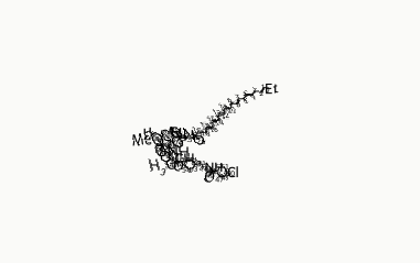 CCC=CCC=CCC=CCC=CCC=CCC=CCCC(=O)NCC(=O)OC(C)C(NC(=O)C(C)(C)Oc1ccc(CCNC(=O)c2ccc(Cl)cc2)cc1)C(=O)OC